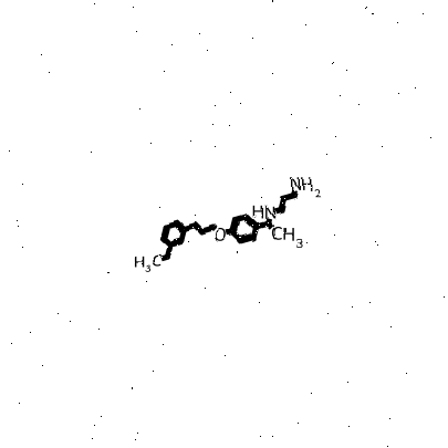 CCc1cccc(CCCOc2ccc(C(C)NCCCN)cc2)c1